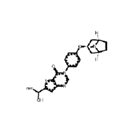 CCCC(O)c1cc2ncn(-c3ccc(O[C@H]4C[C@H]5CC[C@@H](C4)N5C)cc3)c(=O)c2s1